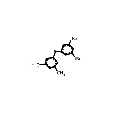 Cc1cc(C)cc([C]c2cc(C(C)(C)C)cc(C(C)(C)C)c2)c1